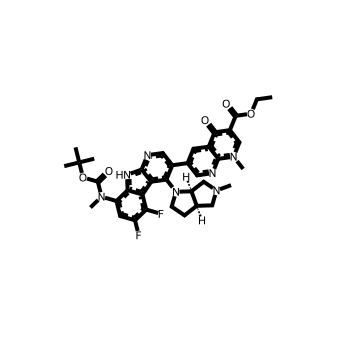 CCOC(=O)c1cn(C)c2ncc(-c3cnc4[nH]c5c(N(C)C(=O)OC(C)(C)C)cc(F)c(F)c5c4c3N3CC[C@@H]4CN(C)C[C@@H]43)cc2c1=O